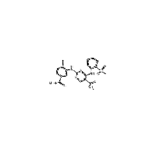 CNC(=O)c1ccc(F)c(Nc2ncc(C(N)=O)c(Nc3ccccc3S(C)(=O)=O)n2)c1